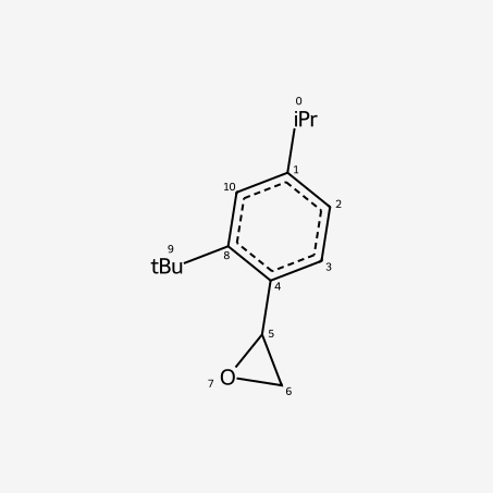 CC(C)c1ccc(C2CO2)c(C(C)(C)C)c1